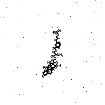 C[C@]12C=CC(=O)C=C1CC[C@H]1[C@@H]3C[C@@H](O)[C@](O)(C(=O)COC(=O)C(N)COC(=O)c4cccc(CCCON(O)O)c4)[C@@]3(C)C[C@H](O)[C@@]12F